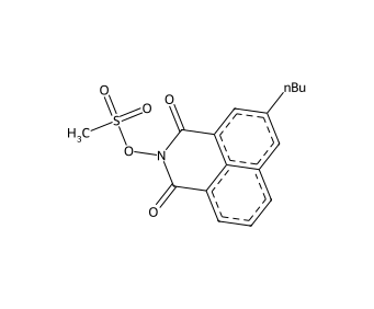 CCCCc1cc2c3c(cccc3c1)C(=O)N(OS(C)(=O)=O)C2=O